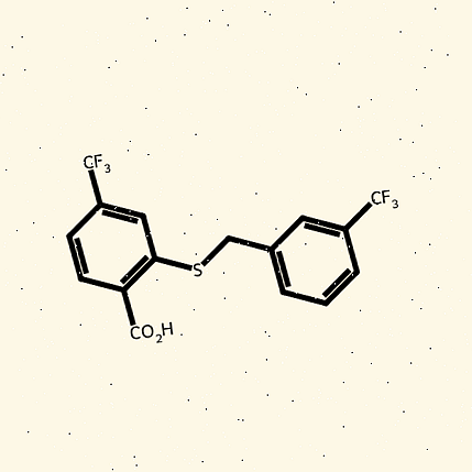 O=C(O)c1ccc(C(F)(F)F)cc1SCc1cccc(C(F)(F)F)c1